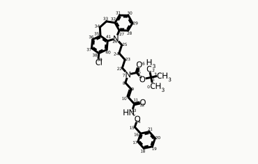 CC(C)(C)OC(=O)N(C/C=C/C(=O)NOCc1ccccc1)CCCCN1c2ccccc2CCc2ccc(Cl)cc21